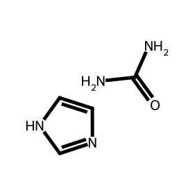 NC(N)=O.c1c[nH]cn1